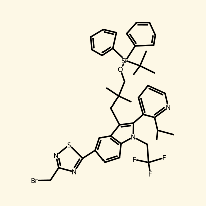 CC(C)c1ncccc1-c1c(CC(C)(C)CO[Si](c2ccccc2)(c2ccccc2)C(C)(C)C)c2cc(-c3nc(CBr)ns3)ccc2n1CC(F)(F)F